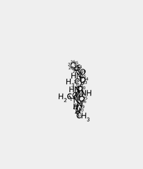 C=CC(=O)Nc1cc(Nc2cc(-c3cccc(NC(=O)c4cc5c(s4)CCCC5)c3C)c[nH]c2=O)ccc1N1CCN(CC)CC1